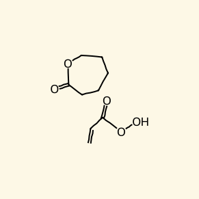 C=CC(=O)OO.O=C1CCCCCO1